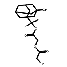 O=C(CBr)OCC(=O)OC(F)(F)C12CC3CC(CC(O)(C3)C1)C2